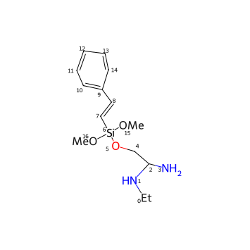 CCNC(N)CO[Si](C=Cc1ccccc1)(OC)OC